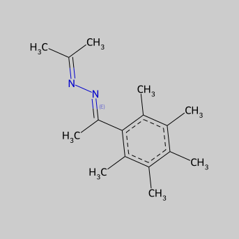 CC(C)=N/N=C(\C)c1c(C)c(C)c(C)c(C)c1C